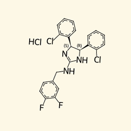 Cl.Fc1ccc(CNC2=N[C@@H](c3ccccc3Cl)[C@@H](c3ccccc3Cl)N2)cc1F